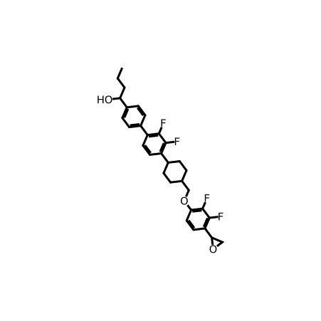 CCCC(O)c1ccc(-c2ccc(C3CCC(COc4ccc(C5CO5)c(F)c4F)CC3)c(F)c2F)cc1